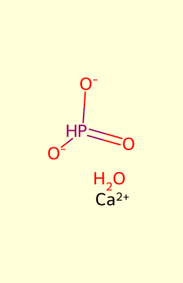 O.O=[PH]([O-])[O-].[Ca+2]